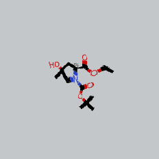 CCOC(=O)[C@@H]1CC(C)(O)CN1C(=O)OC(C)(C)C